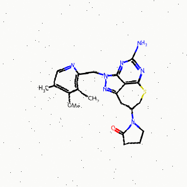 COc1c(C)cnc(Cn2nc3c4c(nc(N)nc42)SCC(N2CCCC2=O)C3)c1C